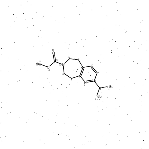 CCCCC(CCCC)c1ccc2c(n1)CCN(C(=O)OC(C)(C)C)CC2